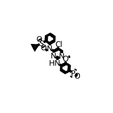 COc1cc(P(C)(C)=O)ccc1Nc1ncc(Cl)c(N(C)c2ccccc2S(=O)(=O)C2CC2)n1